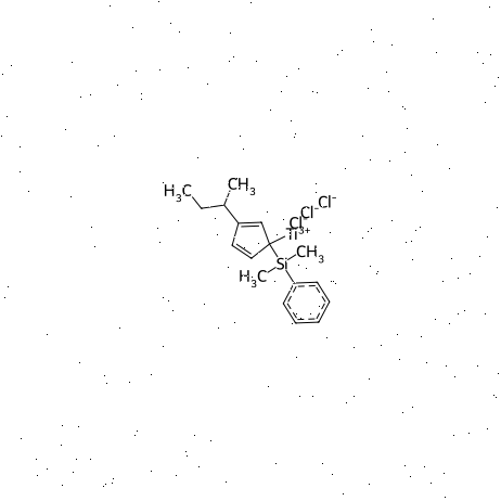 CCC(C)C1=C[C]([Ti+3])([Si](C)(C)c2ccccc2)C=C1.[Cl-].[Cl-].[Cl-]